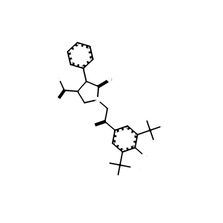 CC(C)(C)c1cc(C(=O)CN2CC(C(N)=O)C(c3ccccc3)C2=N)cc(C(C)(C)C)c1O